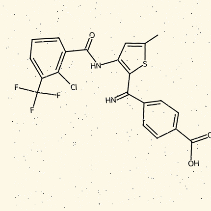 Cc1cc(NC(=O)c2cccc(C(F)(F)F)c2Cl)c(C(=N)c2ccc(C(=O)O)cc2)s1